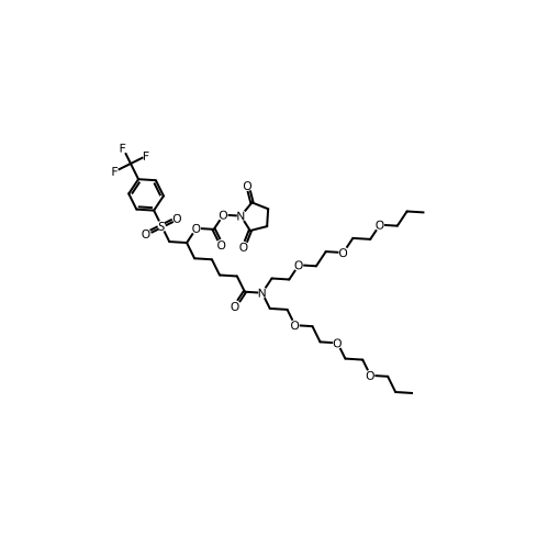 CCCOCCOCCOCCN(CCOCCOCCOCCC)C(=O)CCCCC(CS(=O)(=O)c1ccc(C(F)(F)F)cc1)OC(=O)ON1C(=O)CCC1=O